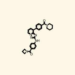 O=C(c1ccc(-c2cccn3nc(Nc4ccc(C(=O)N5CCC5)cc4)nc23)cc1)N1CCCCC1